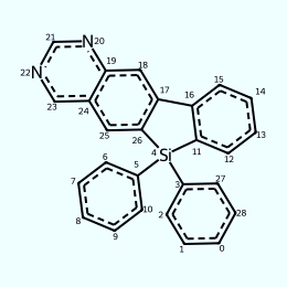 c1ccc([Si]2(c3ccccc3)c3ccccc3-c3cc4ncncc4cc32)cc1